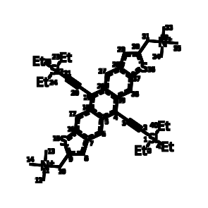 CC[Si](C#Cc1c2cc3cc(C[N+](C)(C)C)sc3cc2c(C#C[Si](CC)(CC)CC)c2cc3cc(C[N+](C)(C)C)sc3cc12)(CC)CC